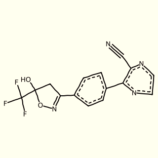 N#Cc1nccnc1-c1ccc(C2=NOC(O)(C(F)(F)F)C2)cc1